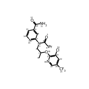 CC(CN(C(=O)C(C)C)c1cc(C(N)=O)ccn1)Oc1ncc(C(F)(F)F)cc1Cl